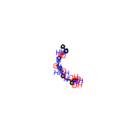 O=C(Nc1ccccc1-c1ccccc1)OC1CCN(CCC(=O)N2CCC(C(=O)Nc3ccc(CNC[C@H](O)c4ccc(O)c5[nH]c(=O)ccc45)cc3)CC2)CC1